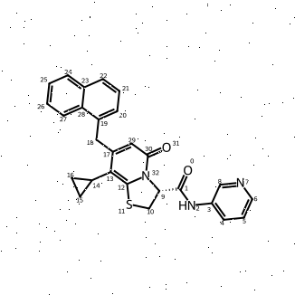 O=C(Nc1cccnc1)[C@@H]1CSc2c(C3CC3)c(Cc3cccc4ccccc34)cc(=O)n21